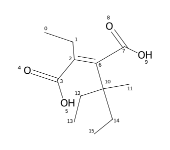 CCC(C(=O)O)=C(C(=O)O)C(C)(CC)CC